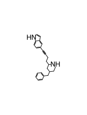 C(#Cc1ccc2[nH]ccc2c1)CCC1CC(Cc2ccccc2)CCN1